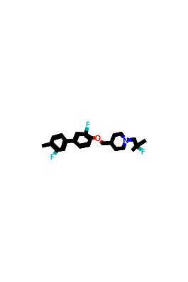 Cc1ccc(-c2ccc(OCC3CCN(CC(C)(C)F)CC3)c(F)c2)cc1F